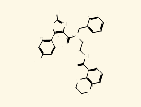 Cc1nc(C(=O)N(CCNC(=O)c2cccc3c2OCCO3)Cc2ccccc2)c(-c2ccc(F)cc2)s1